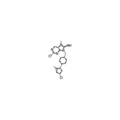 Cn1cc(Cl)cc1-c1ccc(Cn2c(=N)n(C)c3cnc(Cl)nc32)cc1